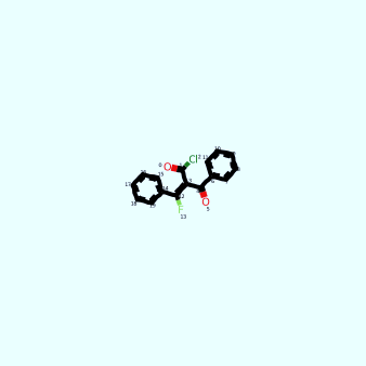 O=C(Cl)C(C(=O)c1ccccc1)=C(F)c1ccccc1